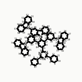 c1ccc(-c2nc(-c3ccccc3)nc(-c3cc(-c4cccc(-n5c6ccccc6c6ccccc65)c4)c(-n4c5ccccc5c5cc(-n6c7ccccc7c7ccccc76)ccc54)c(-c4cccc(-n5c6ccccc6c6ccccc65)c4)c3)n2)cc1